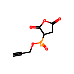 C#CCO[PH](=O)C1CC(=O)OC1=O